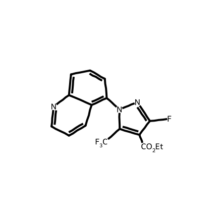 CCOC(=O)c1c(F)nn(-c2cccc3ncccc23)c1C(F)(F)F